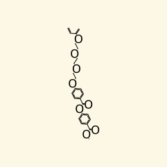 C=CC(=C)OCCOCCOCCOc1ccc(C(=O)Oc2ccc(C(=O)OC)cc2)cc1